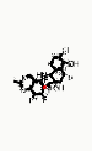 Cc1ncc2c(N[C@H]3c4ccc(Cl)c(O)c4[C@H](C)C[C@]3(O)C(F)(F)F)cc(F)c(F)c2n1